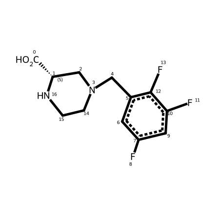 O=C(O)[C@@H]1CN(Cc2cc(F)cc(F)c2F)CCN1